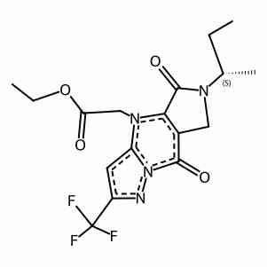 CCOC(=O)Cn1c2c(c(=O)n3nc(C(F)(F)F)cc13)CN([C@@H](C)CC)C2=O